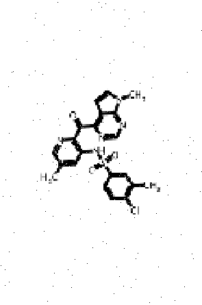 Cc1cnc(C(=O)c2ncnc3c2ccn3C)c(NS(=O)(=O)c2ccc(Cl)c(C)c2)c1